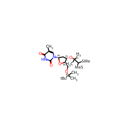 CSC(SC)C(C)(C)O[C@H]1C[C@H](n2cc(C)c(=O)[nH]c2=O)O[C@@H]1CO[Si](C)(C)C(C)(C)C